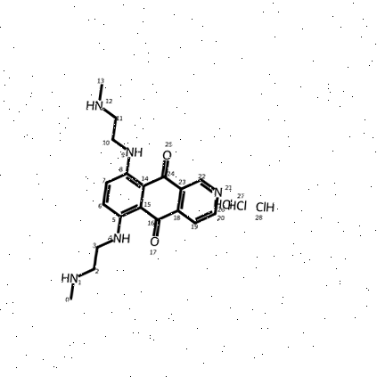 CNCCNc1ccc(NCCNC)c2c1C(=O)c1ccncc1C2=O.Cl.Cl.Cl